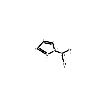 CCN(CC)n1cc[c]n1